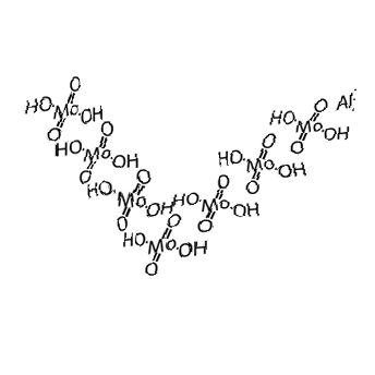 [Al].[O]=[Mo](=[O])([OH])[OH].[O]=[Mo](=[O])([OH])[OH].[O]=[Mo](=[O])([OH])[OH].[O]=[Mo](=[O])([OH])[OH].[O]=[Mo](=[O])([OH])[OH].[O]=[Mo](=[O])([OH])[OH].[O]=[Mo](=[O])([OH])[OH]